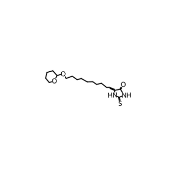 O=C1NC(=S)N/C1=C\CCCCCCCCCOC1CCCCO1